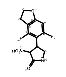 O=C(O)C1C(=O)NCC1c1c(F)cc2c(c1F)CCO2